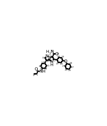 C=CC(=O)Nc1ccc(-c2cnn3c(C(N)=O)c(-c4ccc(Oc5ccccc5)cc4)[nH]c23)cc1